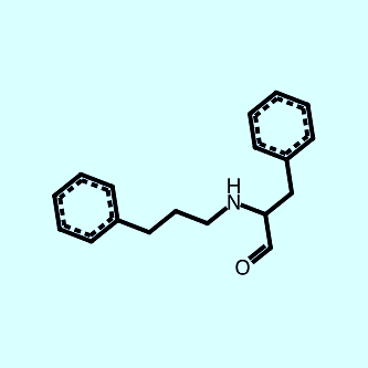 O=CC(Cc1ccccc1)NCCCc1ccccc1